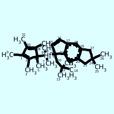 CC1=C(C)[C](C)([Hf]([CH3])([CH3])[C]2(CC(C)(C)C)C=Cc3cc4c(cc32)CC(C)(C)C4)C(C)=C1C